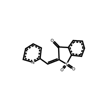 O=C1/C(=C\c2ccccn2)S(=O)(=O)c2ccccc21